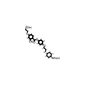 CCCCCCCCCCCCOc1ccc(C(=O)Oc2ccc(OCCC[C@H]3CC[C@H](CCCCC)CC3)cc2)c(C#N)c1